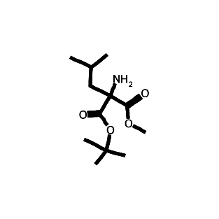 COC(=O)C(N)(CC(C)C)C(=O)OC(C)(C)C